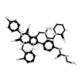 CCNC(=O)Nc1ccc(-c2sc3c(c2CN(C)CCN2CCCCC2=O)c(=O)n(-c2ccc(F)cc2)c(=O)n3Cc2c(F)cccc2F)cc1